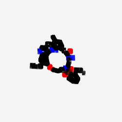 COc1cc2ncc(C#N)c3c2cc1OCCCN(S(=O)(=O)c1ccccc1[N+](=O)[O-])CCNC(=O)Cc1ccc(C)cc1N3